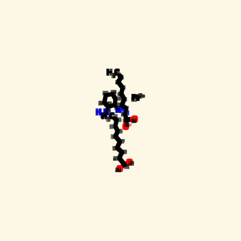 CCCCCCCCCC(=O)[O-].CCCCCCCCCC(=O)[O-].N[C@@H]1CCCC[C@H]1N.[Pt+2]